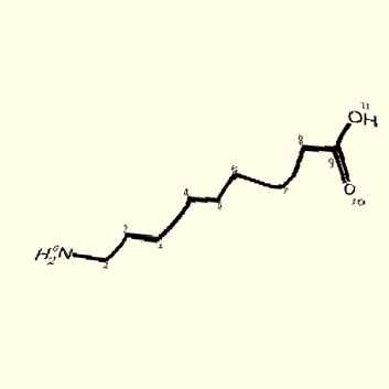 NCCCCCCCCC(=O)O